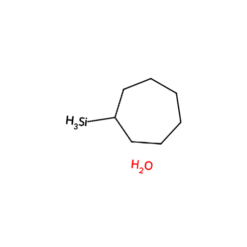 O.[SiH3]C1CCCCCC1